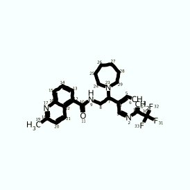 C=C(/N=C\C(=C/C)C(CNC(=O)c1cccc2nc(C)ccc12)N1CCCCCC1)C(F)(F)F